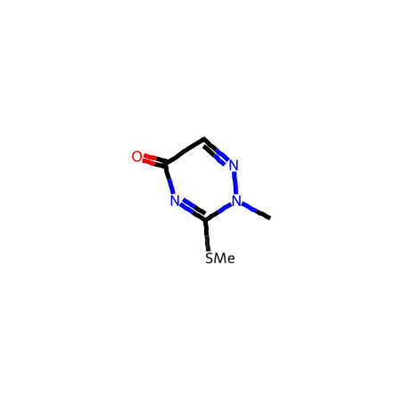 [CH2]Sc1nc(=O)cnn1C